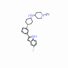 CC(C)N1CCC(N[C@H]2CC[C@H](c3cccc(-c4cc5cc(F)ccc5[nH]4)c3)CC2)CC1